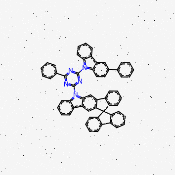 c1ccc(-c2ccc3c(c2)c2ccccc2n3-c2nc(-c3ccccc3)nc(-n3c4ccccc4c4cc5c(cc43)-c3ccccc3C53c4ccccc4-c4ccccc43)n2)cc1